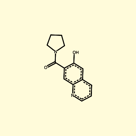 O=C(c1cc2ncccc2cc1O)N1CCCC1